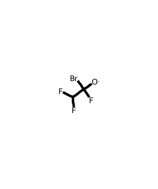 [O]C(F)(Br)C(F)F